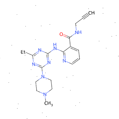 C#CCNC(=O)c1cccnc1Nc1nc(CC)nc(N2CCN(C)CC2)n1